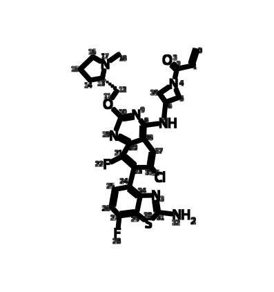 C=CC(=O)N1CC(Nc2nc(OC[C@@H]3CCCN3C)nc3c(F)c(-c4ccc(F)c5sc(N)nc45)c(Cl)cc23)C1